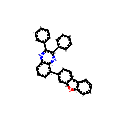 c1ccc(-c2nc3cccc(-c4ccc5c(c4)oc4ccccc45)c3nc2-c2ccccc2)cc1